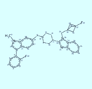 Cn1cc(-c2ccccc2F)c2ccc(CN3CCC(c4nc5ccccc5n4CC45CC(F)(C4)C5)CC3)cc21